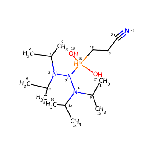 CC(C)N(C(C)C)N(N(C(C)C)C(C)C)[PH](O)(O)CCC#N